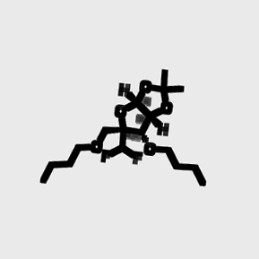 CCCCOC[C@@]1(C(F)F)O[C@@H]2OC(C)(C)O[C@@H]2[C@@H]1OCCCC